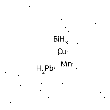 [BiH3].[Cu].[Mn].[PbH2]